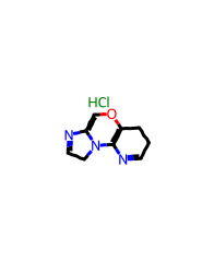 C1=NC2=COC3=C(N=CCC3)N2C1.Cl